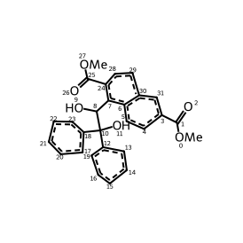 COC(=O)c1ccc2c(C(O)C(O)(c3ccccc3)c3ccccc3)c(C(=O)OC)ccc2c1